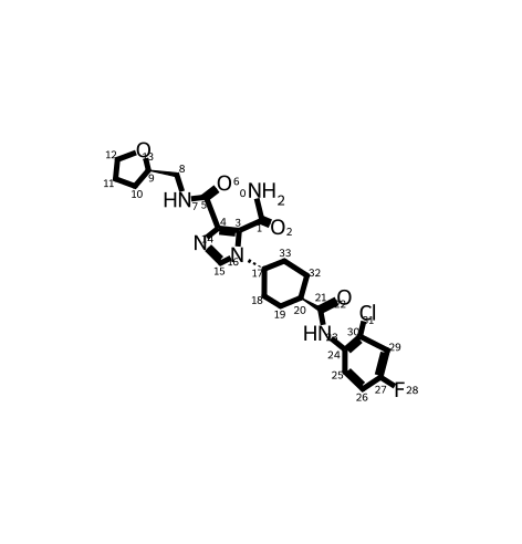 NC(=O)c1c(C(=O)NC[C@H]2CCCO2)ncn1[C@H]1CC[C@H](C(=O)Nc2ccc(F)cc2Cl)CC1